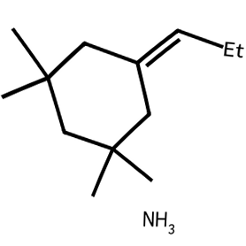 CCC=C1CC(C)(C)CC(C)(C)C1.N